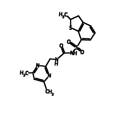 Cc1cc(C)nc(CNC(=O)NS(=O)(=O)c2cccc3c2SC(C)C3)n1